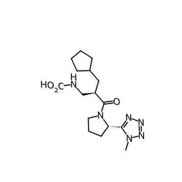 Cn1nnnc1[C@@H]1CCCN1C(=O)[C@@H](CNC(=O)O)CC1CCCC1